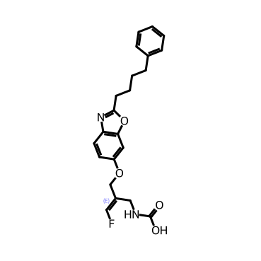 O=C(O)NC/C(=C\F)COc1ccc2nc(CCCCc3ccccc3)oc2c1